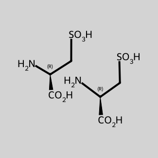 N[C@@H](CS(=O)(=O)O)C(=O)O.N[C@@H](CS(=O)(=O)O)C(=O)O